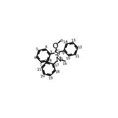 CO[Si](c1ccccc1)(c1ccccc1)N(C)c1ccccc1